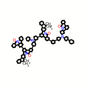 CC1(C)c2ccccc2-c2cc3c4cc(-c5ccc6c(c5)c5ccc(-c7ccc8c(=O)n9c%10cc%11c(cc%10c%10cc(-c%12cc%13c%14ccccc%14c(=O)n%14c%15ccccc%15c(c%12)c%13%14)cc(c8c7)c%109)-c7ccccc7C%11(C)C)cc5n6-c5ccccc5)cc5c6ccc(-c7cccc(-c8ccc(N(c9ccc(-c%10ccccc%10)cc9)c9ccc%10c(c9)c9cccc%11c%12ccccc%12c(=O)n%10c%119)cc8)c7)cc6c(=O)n(c3cc21)c54